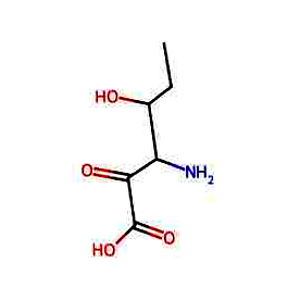 CCC(O)C(N)C(=O)C(=O)O